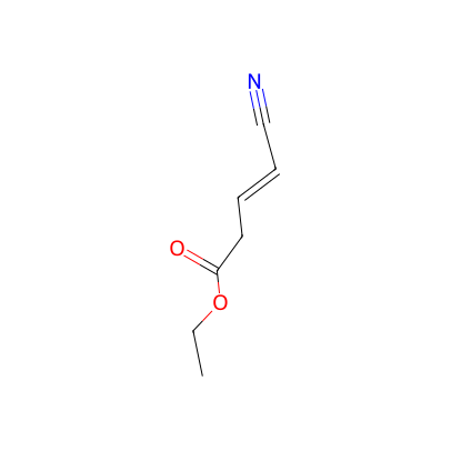 CCOC(=O)CC=CC#N